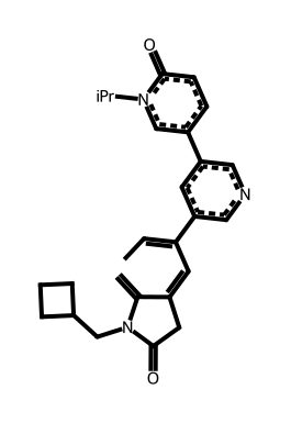 C=C1/C(=C\C(=C/C)c2cncc(-c3ccc(=O)n(C(C)C)c3)c2)CC(=O)N1CC1CCC1